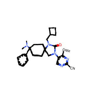 COc1nc(C#N)ncc1N1CC2(CCC(c3ccccc3)(N(C)C)CC2)N(CC2CCC2)C1=O